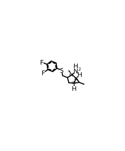 CC1[C@@H]2[C@H]1CC(CSc1ccc(F)c(F)c1)[C@]2(C)N